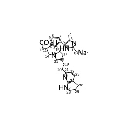 Cc1nc(C)c(-c2cccc([C@H](CC(=O)O)CN3CC[C@@H](CCc4ccc5c(n4)NCCC5)C3)c2)[nH]1.[Na]